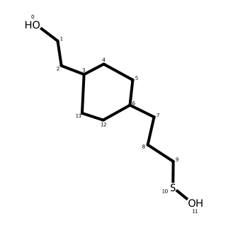 OCCC1CCC(CCCSO)CC1